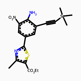 CCOC(=O)c1sc(-c2cc(C#C[Si](C)(C)C)c(N)c([N+](=O)[O-])c2)nc1C